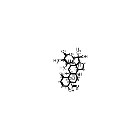 CC1=C(C)C(=O)O[C@@H]([C@](C)(O)[C@H]2CC[C@H]3[C@@H]4CC[C@]5(C=O)[C@@H](O)C=CC(=O)[C@]5(C)[C@H]4CC[C@]23C)C1